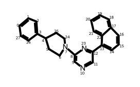 c1ccc(C2CCN(c3cncc(-c4cccc5ccccc45)n3)CC2)cc1